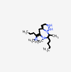 CCCCC1C(C)N2NNCC=C2C/C(=C(\CCC)N(C)C)N1C